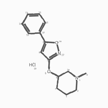 CN1CCCC(Oc2cc(-c3ccccc3)on2)C1.Cl